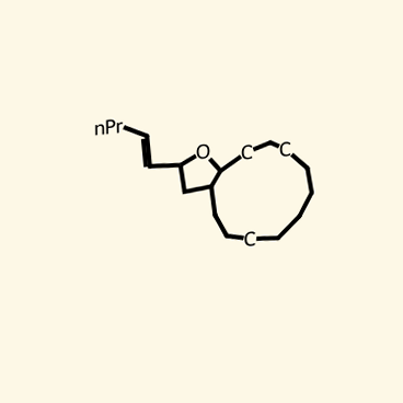 CCCC=CC1CC2CCCCCCCCCCC2O1